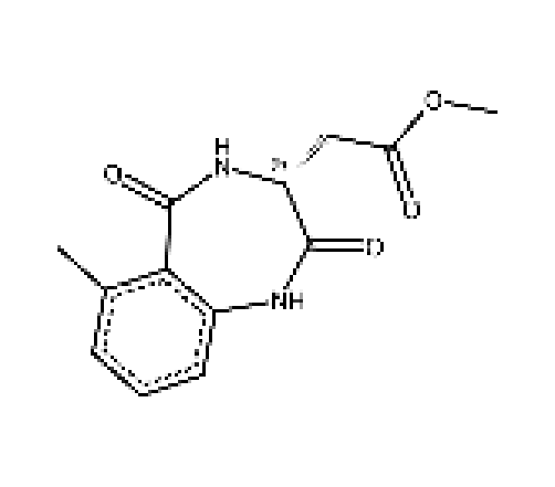 COC(=O)C[C@H]1NC(=O)c2c(C)cccc2NC1=O